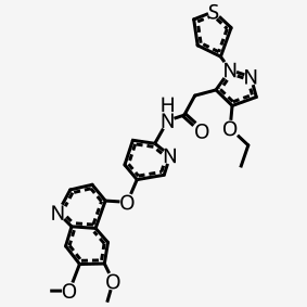 CCOc1cnn(-c2ccsc2)c1CC(=O)Nc1ccc(Oc2ccnc3cc(OC)c(OC)cc23)cn1